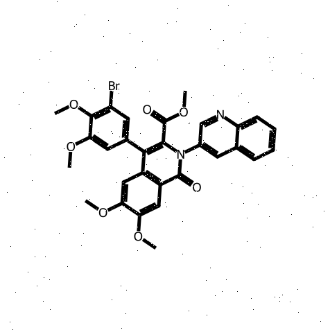 COC(=O)c1c(-c2cc(Br)c(OC)c(OC)c2)c2cc(OC)c(OC)cc2c(=O)n1-c1cnc2ccccc2c1